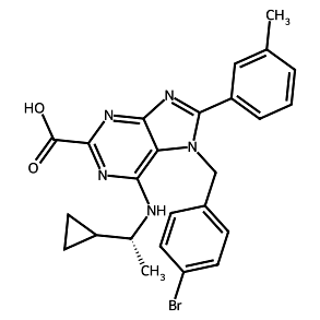 Cc1cccc(-c2nc3nc(C(=O)O)nc(N[C@H](C)C4CC4)c3n2Cc2ccc(Br)cc2)c1